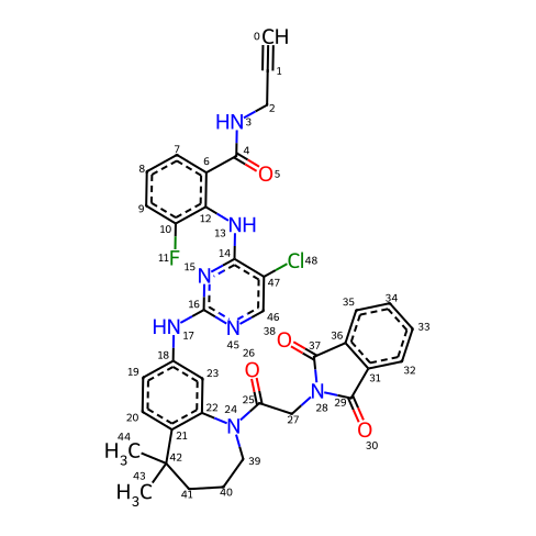 C#CCNC(=O)c1cccc(F)c1Nc1nc(Nc2ccc3c(c2)N(C(=O)CN2C(=O)c4ccccc4C2=O)CCCC3(C)C)ncc1Cl